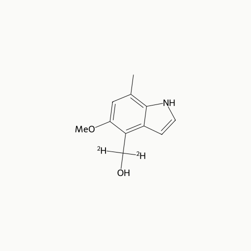 [2H]C([2H])(O)c1c(OC)cc(C)c2[nH]ccc12